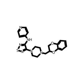 c1ccc2c(c1)OCC(CN1CCN(c3nsnc3Nc3ccncc3)CC1)O2